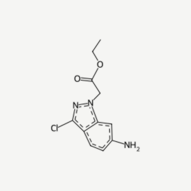 CCOC(=O)Cn1nc(Cl)c2ccc(N)cc21